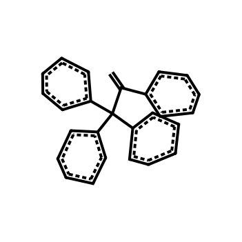 C=C(c1ccccc1)C(c1ccccc1)(c1ccccc1)c1ccccc1